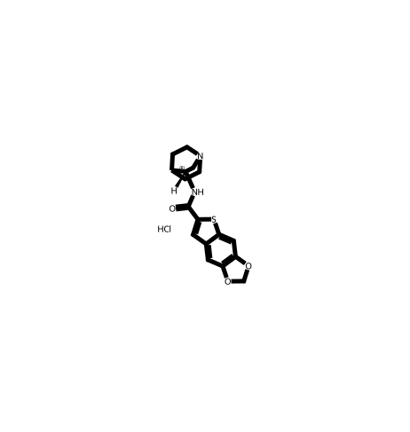 Cl.O=C(N[C@H]1CN2CCC1CC2)c1cc2cc3c(cc2s1)OCO3